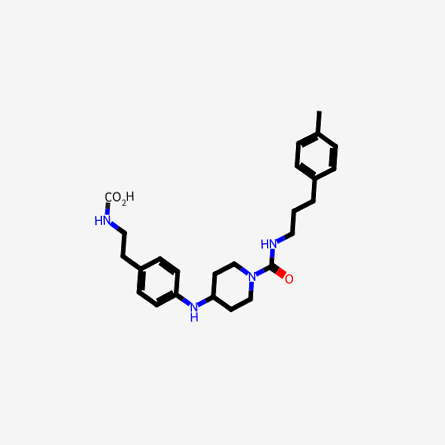 Cc1ccc(CCCNC(=O)N2CCC(Nc3ccc(CCNC(=O)O)cc3)CC2)cc1